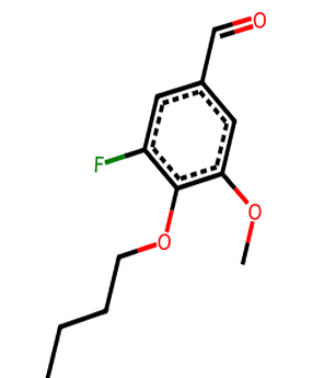 CCCCOc1c(F)cc(C=O)cc1OC